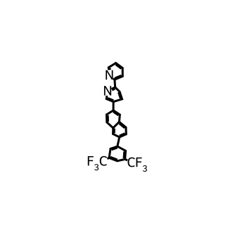 FC(F)(F)c1cc(-c2ccc3cc(-c4ccc(-c5ccccn5)nc4)ccc3c2)cc(C(F)(F)F)c1